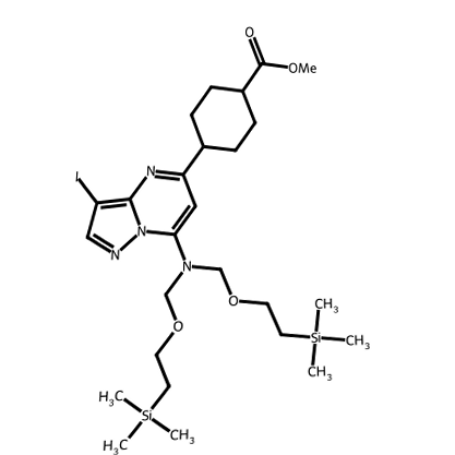 COC(=O)C1CCC(c2cc(N(COCC[Si](C)(C)C)COCC[Si](C)(C)C)n3ncc(I)c3n2)CC1